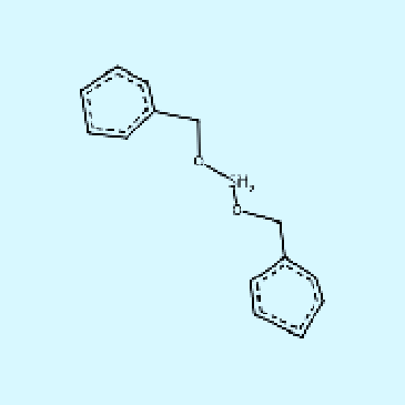 c1ccc(CO[SiH2]OCc2ccccc2)cc1